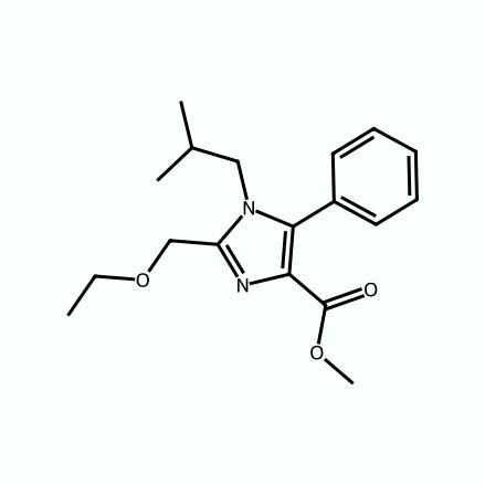 CCOCc1nc(C(=O)OC)c(-c2ccccc2)n1CC(C)C